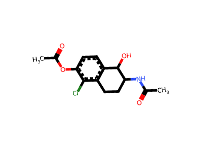 CC(=O)NC1CCc2c(ccc(OC(C)=O)c2Cl)C1O